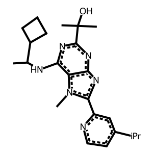 CC(C)c1ccnc(-c2nc3nc(C(C)(C)O)nc(NC(C)C4CCC4)c3n2C)c1